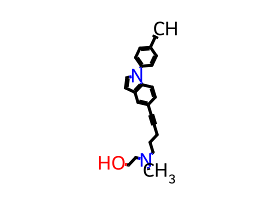 C#Cc1ccc(-n2ccc3cc(C#CCCCN(C)CCO)ccc32)cc1